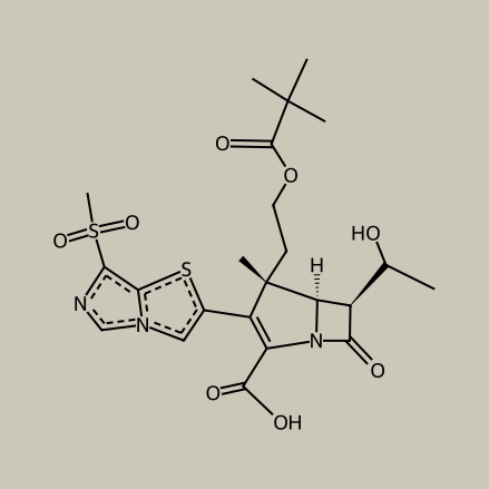 CC(O)[C@H]1C(=O)N2C(C(=O)O)=C(c3cn4cnc(S(C)(=O)=O)c4s3)[C@](C)(CCOC(=O)C(C)(C)C)[C@@H]12